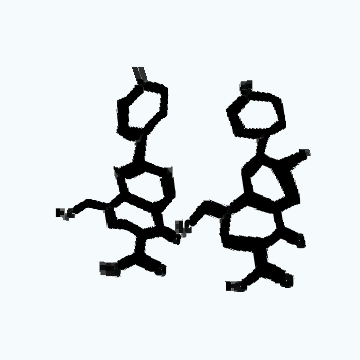 CCn1cc(C(=O)O)c(=O)c2cc(F)c(N3CCNCC3)cc21.CCn1cc(C(=O)O)c(=O)c2cnc(N3CCNCC3)nc21